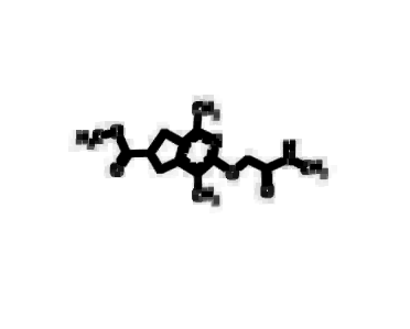 CNC(=O)COc1nc(C)c2c(c1C)CC(C(=O)OC)C2